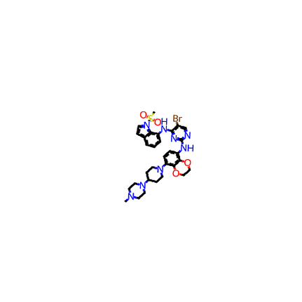 CN1CCN(C2CCN(c3ccc(Nc4ncc(Br)c(Nc5cccc6ccn(S(C)(=O)=O)c56)n4)c4c3OCCO4)CC2)CC1